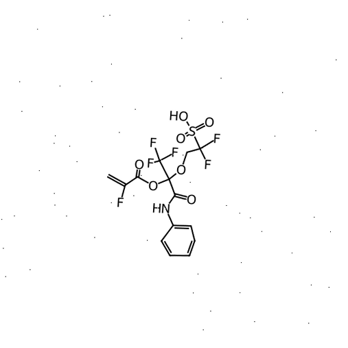 C=C(F)C(=O)OC(OCC(F)(F)S(=O)(=O)O)(C(=O)Nc1ccccc1)C(F)(F)F